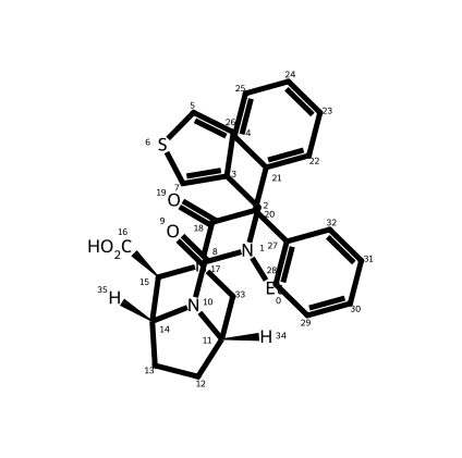 CCN(Cc1ccsc1)C(=O)N1[C@H]2CC[C@@H]1[C@@H](C(=O)O)N(C(=O)C(c1ccccc1)c1ccccc1)C2